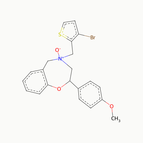 COc1ccc(C2C[N+]([O-])(Cc3sccc3Br)Cc3ccccc3O2)cc1